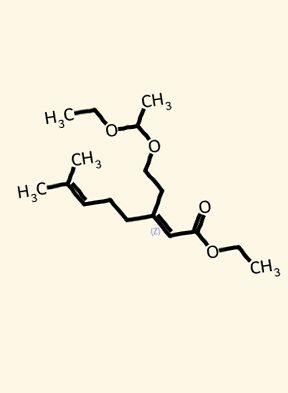 CCOC(=O)/C=C(/CCC=C(C)C)CCOC(C)OCC